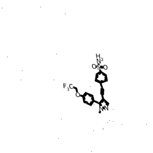 Cn1ncc(C#Cc2ccc(S(N)(=O)=O)cc2)c1-c1ccc(OCC(F)(F)F)cc1